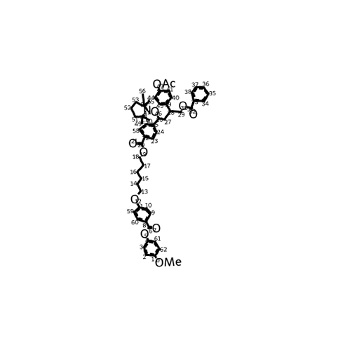 COc1ccc(OC(=O)c2ccc(OCCCCCCOC(=O)c3ccc(C(CC(COC(=O)c4ccccc4)c4ccc(OC(C)=O)cc4)ON4C(C)(C)CCCC4(C)C)cc3)cc2)cc1